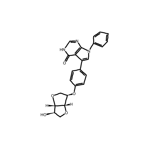 O=c1[nH]cnc2c1c(-c1ccc(O[C@@H]3CO[C@@H]4[C@H]3OC[C@H]4O)cc1)cn2-c1ccccc1